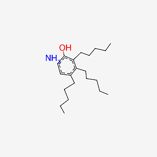 CCCCCc1ccc(O)c(CCCCC)c1CCCCC.N